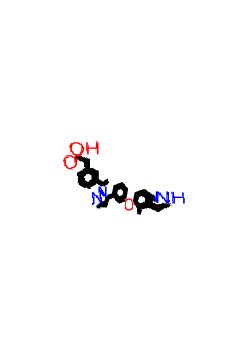 Cc1c(Oc2cccc(-c3ccnn3C(C)c3cccc(CC(=O)O)c3)c2)ccc2[nH]ccc12